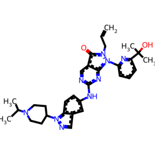 C=CCn1c(=O)c2cnc(Nc3ccc4c(cnn4C4CCN(C(C)C)CC4)c3)nc2n1-c1cccc(C(C)(C)O)n1